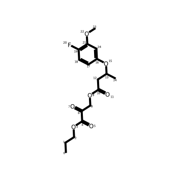 CCCOC(=O)C(=O)COC(=O)CC(C)Oc1ccc(F)c(OC)c1